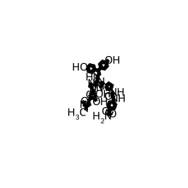 CCc1cc(C2OC(n3cnc4c(NCC(c5ccc(O)cc5)c5ccc(O)cc5)nc(N5CC[C@@H](NC(=O)Nc6ccc(S(N)(=O)=O)cc6)C5)nc43)C(O)C2O)on1